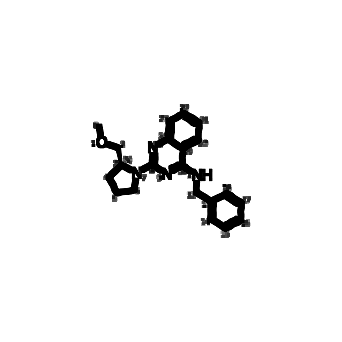 COC[C@@H]1CCCN1c1nc(NCc2ccccc2)c2ccccc2n1